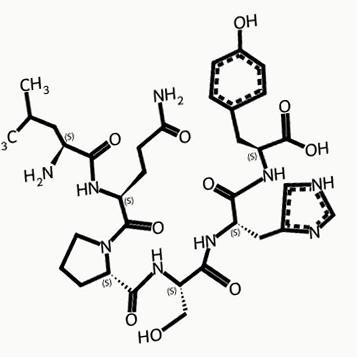 CC(C)C[C@H](N)C(=O)N[C@@H](CCC(N)=O)C(=O)N1CCC[C@H]1C(=O)N[C@@H](CO)C(=O)N[C@@H](Cc1c[nH]cn1)C(=O)N[C@@H](Cc1ccc(O)cc1)C(=O)O